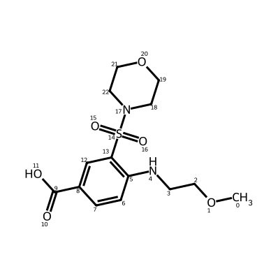 COCCNc1ccc(C(=O)O)cc1S(=O)(=O)N1CCOCC1